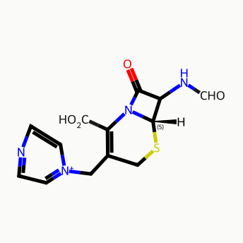 O=CNC1C(=O)N2C(C(=O)O)=C(C[n+]3ccncc3)CS[C@@H]12